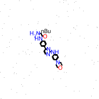 CCCCC(N)C(=O)Nc1ccc(-c2ccnc(Nc3ccc(N4CCOCC4)cc3)n2)cc1